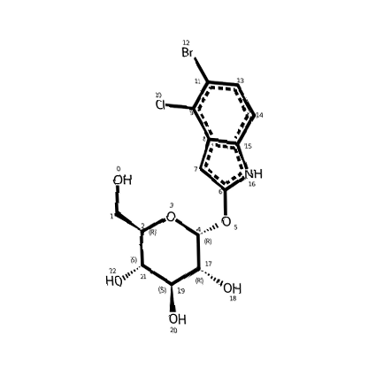 OC[C@H]1O[C@H](Oc2cc3c(Cl)c(Br)ccc3[nH]2)[C@H](O)[C@@H](O)[C@@H]1O